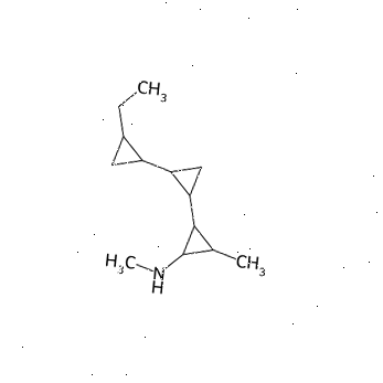 CCC1CC1C1CC1C1C(C)C1NC